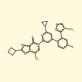 Cn1cnnc1-c1cc(F)ccc1-c1cc(C2CC2)nc(-n2cc(C(F)(F)F)c3nc(C4CCC4)[nH]c3c2=O)c1